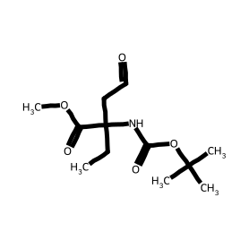 CCC(CC=O)(NC(=O)OC(C)(C)C)C(=O)OC